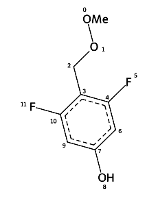 COOCc1c(F)cc(O)cc1F